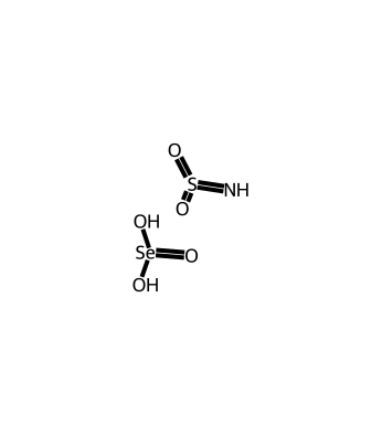 N=S(=O)=O.O=[Se](O)O